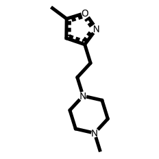 Cc1cc(CCN2CCN(C)CC2)no1